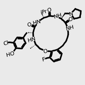 CC(C)[C@H]1NC(=O)[C@@H](Cc2ccc(O)c(Cl)c2)N[C@@H](C)COc2c(F)cccc2CCCNC(=O)[C@H](CN2CCCC2)NC1=O